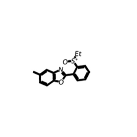 CC[S+]([O-])c1ccccc1-c1nc2cc(C)ccc2o1